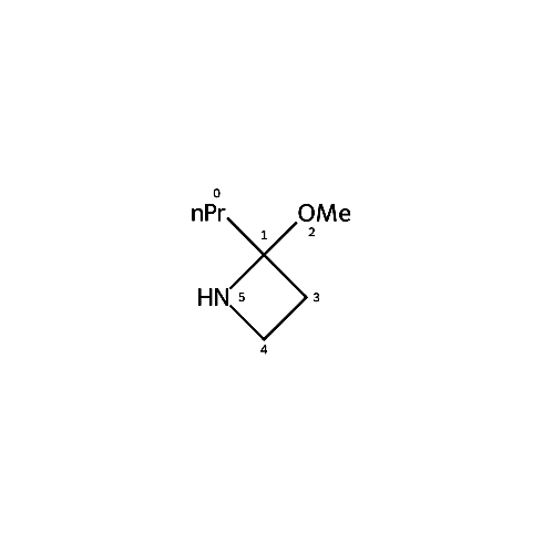 CCCC1(OC)CCN1